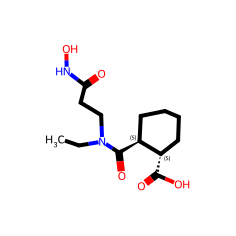 CCN(CCC(=O)NO)C(=O)[C@H]1CCCC[C@@H]1C(=O)O